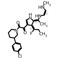 CC/C(F)=c1/c(C(=O)C(=O)N2CCCC(c3ccc(Cl)cc3)C2)c[nH]/c1=C(/C)N/C=C\NC